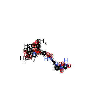 CCC[C@H](C(=O)N1CCCC[C@H]1C(=O)O[C@H](CCc1ccc(OC)c(OC)c1)c1ccc(OCC(=O)NCCCCNc2cccc3c2C(=O)N(C2CCC(=O)NC2=O)C3=O)cc1)c1cc(OC)c(OC)c(OC)c1